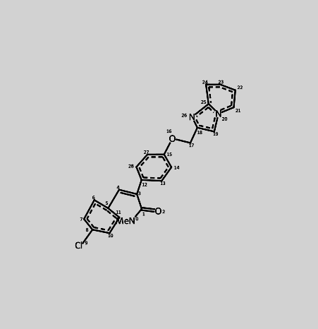 CNC(=O)C(=Cc1ccc(Cl)cc1)c1ccc(OCc2cn3ccccc3n2)cc1